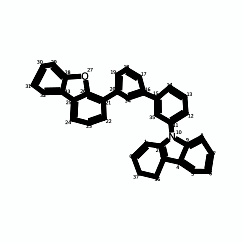 C1=Cc2c(c3ccccc3n2-c2cccc(-c3cccc(-c4cccc5c4oc4ccccc45)c3)c2)CC1